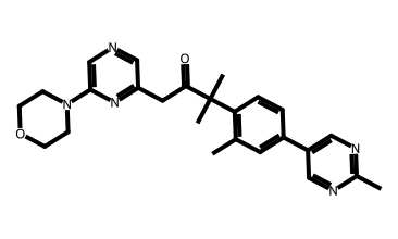 Cc1ncc(-c2ccc(C(C)(C)C(=O)Cc3cncc(N4CCOCC4)n3)c(C)c2)cn1